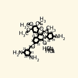 COC(=O)c1c(-c2cc(OC)c(OC)c(OC)c2)c2ccc(OCc3cc(N)cc(N)c3)cc2c(=O)n1-c1ccc(N)cc1.Cl.Cl.Cl